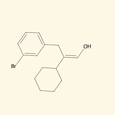 O/C=C(\Cc1cccc(Br)c1)C1CCCCC1